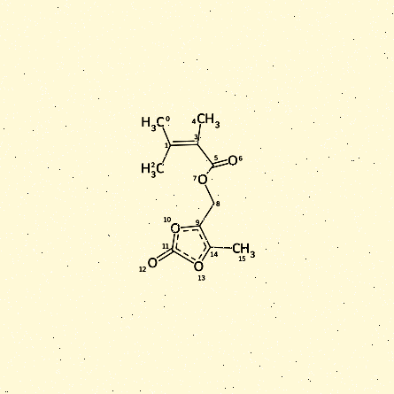 CC(C)=C(C)C(=O)OCc1oc(=O)oc1C